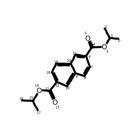 CC(C)OC(=O)c1ccc2cc(C(=O)OC(C)C)ccc2c1